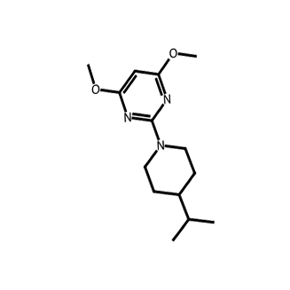 COc1cc(OC)nc(N2CCC(C(C)C)CC2)n1